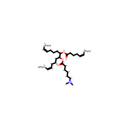 CCCCC/C=C\CCCC(=O)OC(CCC/C=C\CCCCC)C(CCC/C=C\CCCCC)OC(=O)CCCCCN(C)C